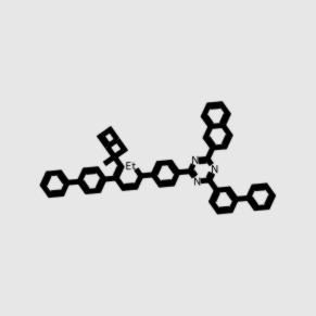 CCC(/C=C\C(=C\C1(C)CC2CC=C21)c1ccc(-c2ccccc2)cc1)c1ccc(-c2nc(-c3cccc(-c4ccccc4)c3)nc(-c3ccc4ccccc4c3)n2)cc1